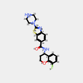 O=C(N[C@@H]1CCOc2c(F)cccc21)c1ccc2nc(N3CCNCC3)sc2c1